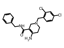 NC1=C(C(=O)NCc2ccccc2)CN(Cc2ccc(Cl)cc2Cl)CC1